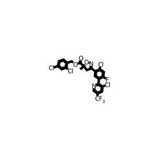 CC1(C(=O)OCc2ccc(Cl)cc2Cl)CC(c2cc(-c3ncc(C(F)(F)F)cc3Cl)c(F)cc2Cl)=NO1